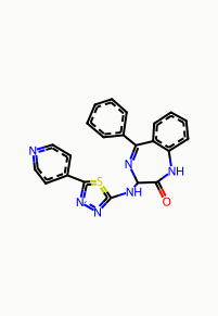 O=C1Nc2ccccc2C(c2ccccc2)=NC1Nc1nnc(-c2ccncc2)s1